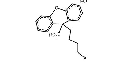 Cl.O=C(O)C1(CCCCBr)c2ccccc2Oc2ccccc21